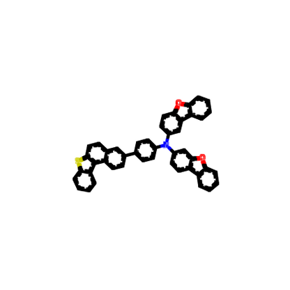 c1ccc2c(c1)oc1cc(N(c3ccc(-c4ccc5c(ccc6sc7ccccc7c65)c4)cc3)c3ccc4oc5ccccc5c4c3)ccc12